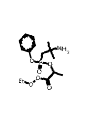 CCOOC(=O)C(C)OP(=O)(CC(C)(C)N)Oc1ccccc1